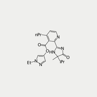 CCCc1ccnc(C2=NC(=O)C(C)(C(C)C)N2)c1C(=O)Oc1cnn(CC)c1